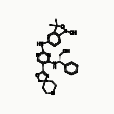 CC1(C)OB(O)c2ccc(Nc3ncc(C4=NC5(CCOCC5)CO4)c(N[C@H](CO)c4ccccc4)n3)cc21